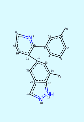 Cc1cccc(-c2ncccc2-c2cc(C)c3[nH]ncc3c2)c1